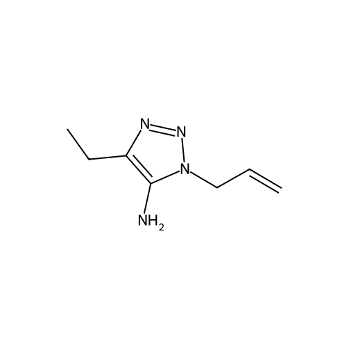 C=CCn1nnc(CC)c1N